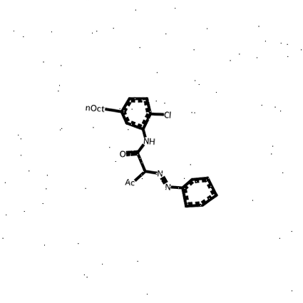 CCCCCCCCc1ccc(Cl)c(NC(=O)C(N=Nc2ccccc2)C(C)=O)c1